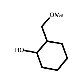 COCC1CCCCC1O